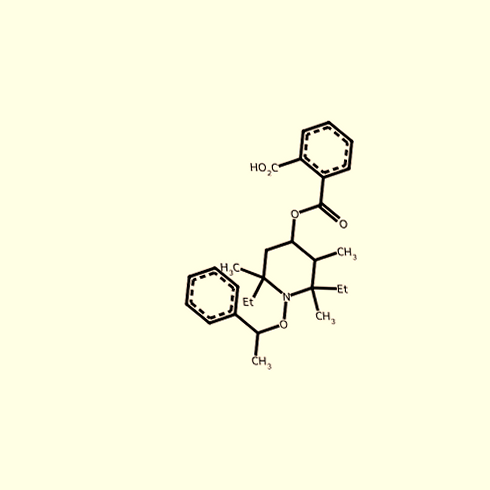 CCC1(C)CC(OC(=O)c2ccccc2C(=O)O)C(C)C(C)(CC)N1OC(C)c1ccccc1